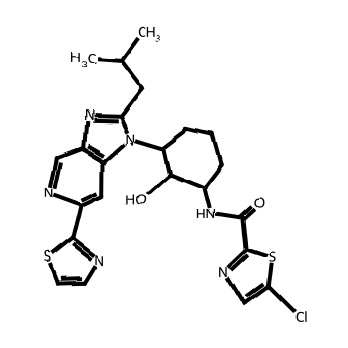 CC(C)Cc1nc2cnc(-c3nccs3)cc2n1C1CCCC(NC(=O)c2ncc(Cl)s2)C1O